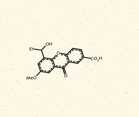 CCC(O)c1cc(OC)cc2c(=O)c3cc(C(=O)O)ccc3oc12